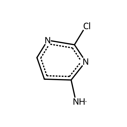 [NH]c1ccnc(Cl)n1